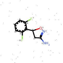 NC1=NOC(c2c(F)cccc2F)C1